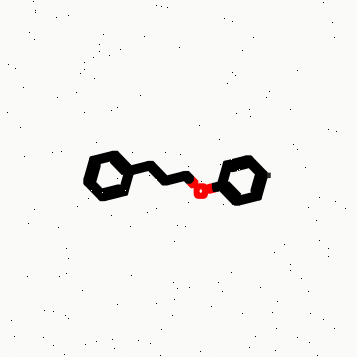 [c]1ccc(OCCCc2ccccc2)cc1